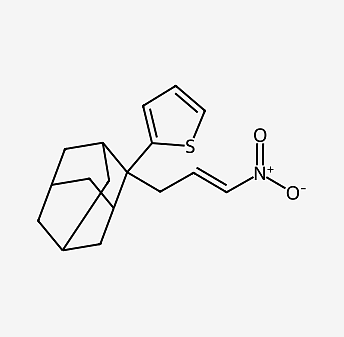 O=[N+]([O-])C=CCC1(c2cccs2)C2CC3CC(C2)CC1C3